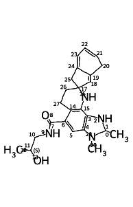 CC1Nc2c(cc(C(=O)NC[C@H](C)O)c3c2NC2(C=C4CC=CC=C4C2)CC3)N1C